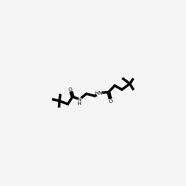 CC(C)(C)CCC(=O)NCCNC(=O)CC(C)(C)C